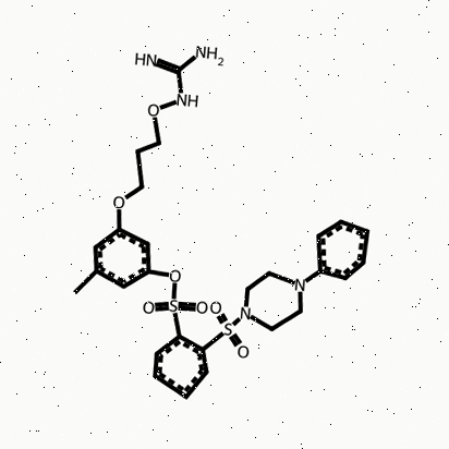 Cc1cc(OCCCONC(=N)N)cc(OS(=O)(=O)c2ccccc2S(=O)(=O)N2CCN(c3ccccc3)CC2)c1